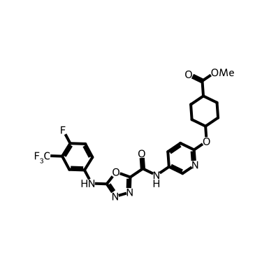 COC(=O)C1CCC(Oc2ccc(NC(=O)c3nnc(Nc4ccc(F)c(C(F)(F)F)c4)o3)cn2)CC1